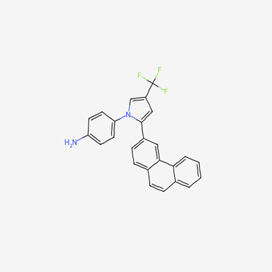 Nc1ccc(-n2cc(C(F)(F)F)cc2-c2ccc3ccc4ccccc4c3c2)cc1